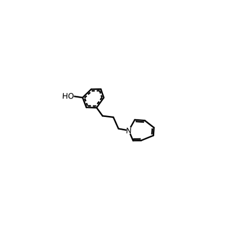 Oc1cccc(CCCN2C=CC=CC=C2)c1